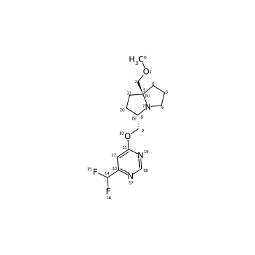 COC[C@@]12CCCN1[C@H](COc1cc(C(F)F)ncn1)CC2